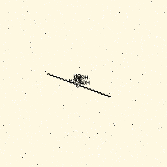 CCCCCCCCCCCCCCCCCCOC(CCCCCCCCCCCCCCCCCC)C(CO)(COP(O)O)COP(O)O